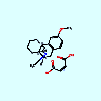 COc1ccc2c(c1)[C@]13CCCC[C@@H]1[C@H](C2)N(C)CC3.O=C(O)/C=C\C(=O)O